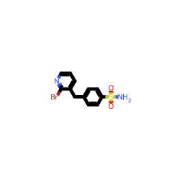 NS(=O)(=O)c1ccc(Cc2cccnc2Br)cc1